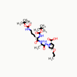 C=CCO[C@@H]1C[C@@H](C(=O)O)N(NC(=O)[C@H](C)NC(=O)[C@H](CCCCNC(=O)OC(C)(C)C)NC(=O)OC(C)(C)C)C1